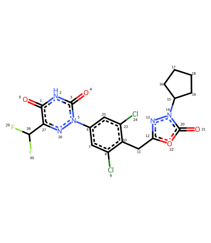 O=c1[nH]c(=O)n(-c2cc(Cl)c(Cc3nn(C4CCCC4)c(=O)o3)c(Cl)c2)nc1C(F)F